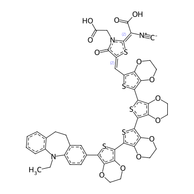 [C-]#[N+]/C(C(=O)O)=c1\s/c(=C\c2sc(-c3sc(-c4sc(-c5sc(-c6ccc7c(c6)CCc6ccccc6N7CC)c6c5OCCO6)c5c4OCCO5)c4c3OCCO4)c3c2OCCO3)c(=O)n1CC(=O)O